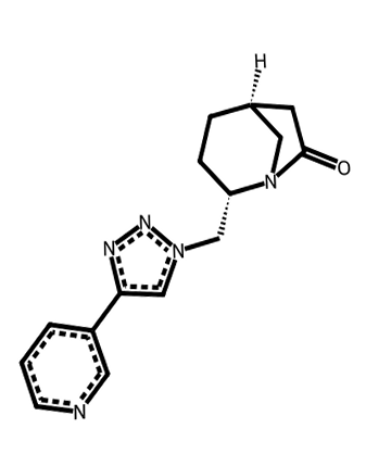 O=C1C[C@@H]2CC[C@@H](Cn3cc(-c4cccnc4)nn3)N1C2